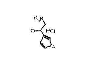 Cl.NCC(=O)c1ccoc1